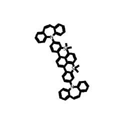 C[Si]1(C)c2cc(N3c4ccccc4C=Cc4ccccc43)ccc2-c2ccc3c4c(ccc1c24)[Si](C)(C)c1cc(N2c4ccccc4C=Cc4ccccc42)ccc1-3